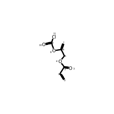 C=CC(=O)OCC(=C)OC(=O)Cl